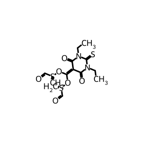 C=S(C=O)OC(OS(=C)C=O)=C1C(=O)N(CC)C(=S)N(CC)C1=O